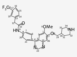 COc1cc2c(-c3ccc(NC(=O)Cc4cccc(C(F)(F)F)c4)cc3)ncnc2cc1OCC1CCNCC1